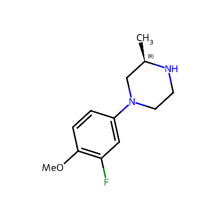 COc1ccc(N2CCN[C@H](C)C2)cc1F